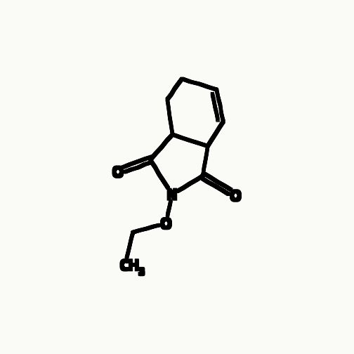 CCON1C(=O)C2C=CCCC2C1=O